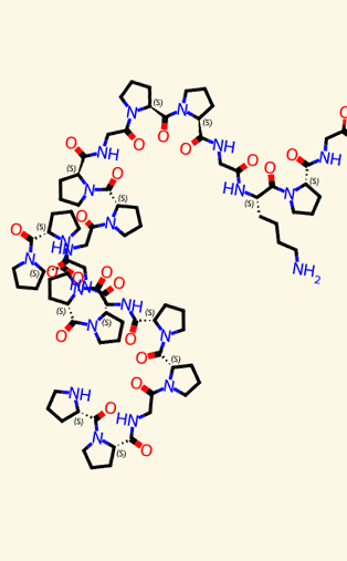 NCCCC[C@H](NC(=O)CNC(=O)[C@@H]1CCCN1C(=O)[C@@H]1CCCN1C(=O)CNC(=O)[C@@H]1CCCN1C(=O)[C@@H]1CCCN1C(=O)CNC(=O)[C@@H]1CCCN1C(=O)[C@@H]1CCCN1C(=O)CNC(=O)[C@@H]1CCCN1C(=O)[C@@H]1CCCN1C(=O)CNC(=O)[C@@H]1CCCN1C(=O)[C@@H]1CCCN1C(=O)CNC(=O)[C@@H]1CCCN1C(=O)[C@@H]1CCCN1)C(=O)N1CCC[C@H]1C(=O)NCC(=O)O